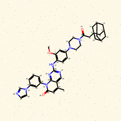 COc1cc(N2CCN(C(=O)CC34CC5CC(CC(C5)C3)C4)CC2)ccc1Nc1ncc2c(C)cc(=O)n(-c3cccc(-n4ccnc4)c3)c2n1